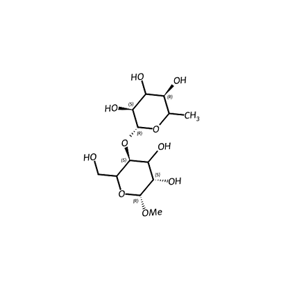 CO[C@@H]1OC(CO)[C@@H](O[C@H]2OC(C)[C@H](O)C(O)[C@@H]2O)C(O)[C@@H]1O